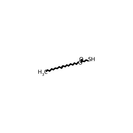 CCCCCCCCC=CCCCCCCCCOC(=O)CCCS